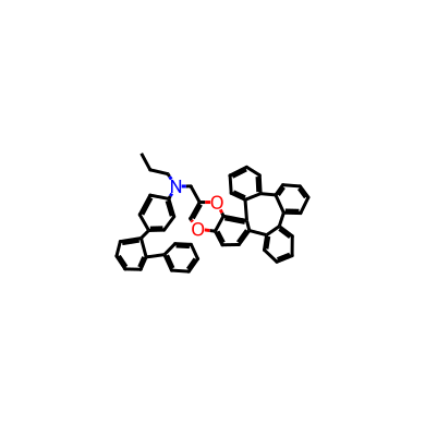 CCCN(Cc1coc2ccc3c4ccccc4c4ccccc4c4ccccc4c3c2o1)c1ccc(-c2ccccc2-c2ccccc2)cc1